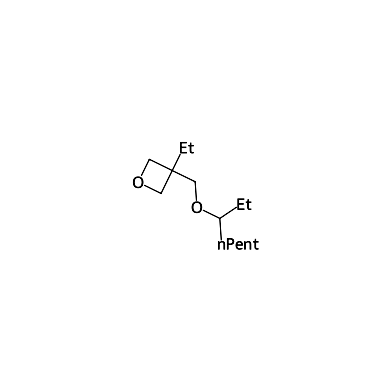 CCCCCC(CC)OCC1(CC)COC1